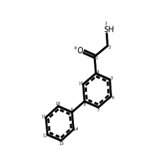 O=C(CS)c1cccc(-c2ccccc2)c1